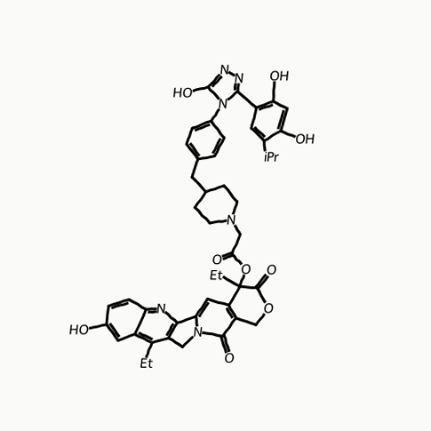 CCc1c2c(nc3ccc(O)cc13)-c1cc3c(c(=O)n1C2)COC(=O)C3(CC)OC(=O)CN1CCC(Cc2ccc(-n3c(O)nnc3-c3cc(C(C)C)c(O)cc3O)cc2)CC1